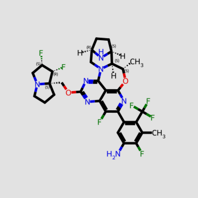 Cc1c(F)c(N)cc(-c2nc3c4c(nc(OC[C@]56CCCN5C[C@H](F)[C@@H]6F)nc4c2F)N2C[C@H]4CC[C@H](N4)[C@H]2[C@H](C)O3)c1C(F)(F)F